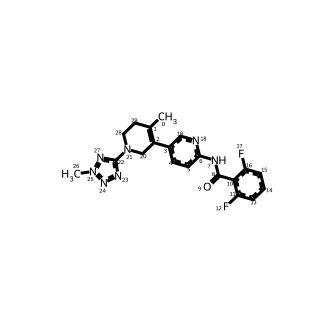 CC1=C(c2ccc(NC(=O)c3c(F)cccc3F)nc2)CN(c2nnn(C)n2)CC1